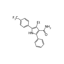 CCc1c(-c2ccc(C(F)(F)F)cc2)[nH]c(-c2ccccc2)c1C(N)=O